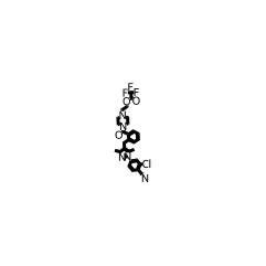 Cc1nn(-c2ccc(C#N)c(Cl)c2)c(C)c1Cc1ccccc1C(=O)N1CCN(CCOC(=O)C(F)(F)F)CC1